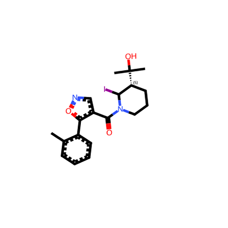 Cc1ccccc1-c1oncc1C(=O)N1CCC[C@@H](C(C)(C)O)C1I